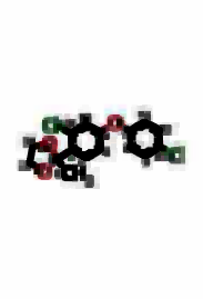 CC1(c2ccc(Oc3ccc(Cl)cc3)cc2Cl)OCCO1